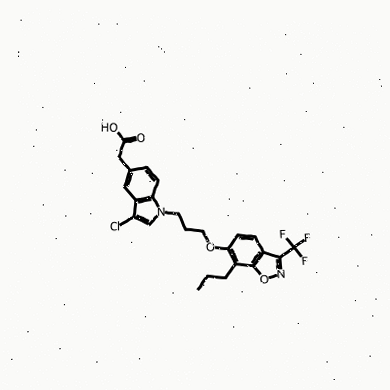 CCCc1c(OCCCn2cc(Cl)c3cc(CC(=O)O)ccc32)ccc2c(C(F)(F)F)noc12